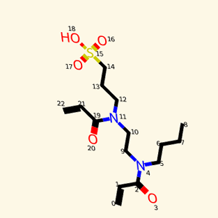 C=CC(=O)N(CCCC)CCN(CCCS(=O)(=O)O)C(=O)C=C